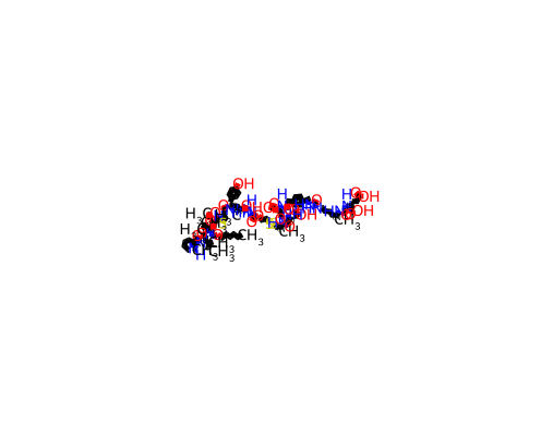 CCCCCCOCN(C(=O)[C@@H](NC(=O)C1CCCCN1C)C(C)CC)[C@H](C[C@@H](OC(C)=O)c1nc(C(=O)N[C@@H](Cc2ccc(O)cc2)C[C@H](C)C(=O)NNC(=O)OCCSSC[C@@H](C)NC(=O)[C@H](CC(=O)O)NC(=O)C(CC(=O)O)NC(=O)Cc2ccc(CNC(=O)NCCCC[C@@H](C)NC(=O)N[C@@H](CCC(=O)O)C(=O)O)cc2)cs1)C(C)C